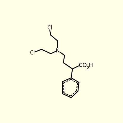 O=C(O)C(CCN(CCCl)CCCl)c1ccccc1